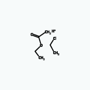 CCCl.CCOC(C)=O.[H+]